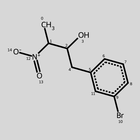 CC(C(O)Cc1cccc(Br)c1)[N+](=O)[O-]